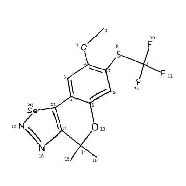 COc1cc2c(cc1SC(F)(F)F)OC(C)(C)c1nn[se]c1-2